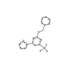 FC(F)(F)c1cc(-c2cccs2)nc(SCc2ccccc2)n1